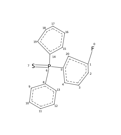 Fc1cccc(P(=S)(c2ccccc2)c2ccccc2)c1